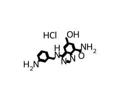 Cl.NC(=O)c1cc(CO)cc2c(NCc3cccc(N)c3)ncnc12